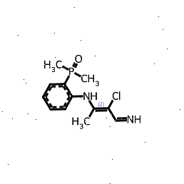 C/C(Nc1ccccc1P(C)(C)=O)=C(/Cl)C=N